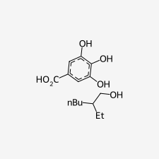 CCCCC(CC)CO.O=C(O)c1cc(O)c(O)c(O)c1